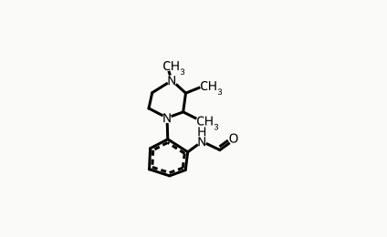 CC1C(C)N(c2ccccc2NC=O)CCN1C